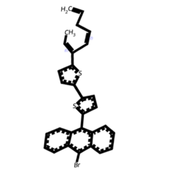 C=CC/C=C\C(=C/C)c1ccc(-c2ccc(-c3c4ccccc4c(Br)c4ccccc34)s2)s1